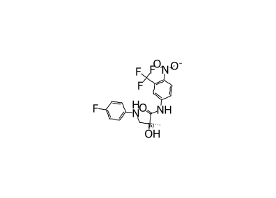 C[C@](O)(CNc1ccc(F)cc1)C(=O)Nc1ccc([N+](=O)[O-])c(C(F)(F)F)c1